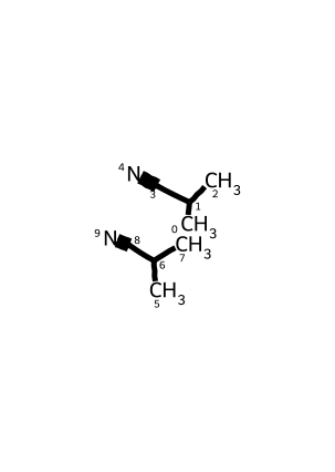 CC(C)C#N.CC(C)C#N